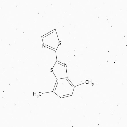 Cc1ccc(C)c2sc(-c3nccs3)nc12